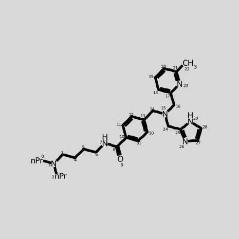 CCCN(CCC)CCCCNC(=O)c1ccc(CN(Cc2cccc(C)n2)Cc2ncc[nH]2)cc1